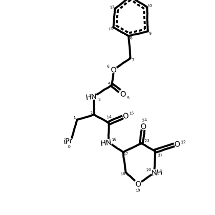 CC(C)CC(NC(=O)OCc1ccccc1)C(=O)NC1CONC(=O)C1=O